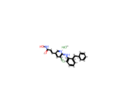 Cl.O=C(/C=C/c1cnc(Nc2ccccc2Cc2ccccc2)c(Cl)c1)NO